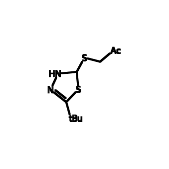 CC(=O)CSC1NN=C(C(C)(C)C)S1